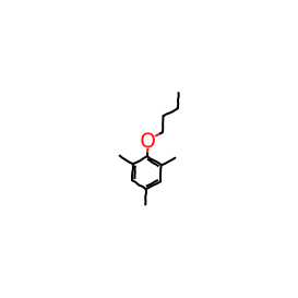 CCCCOc1c(C)cc(C)cc1C